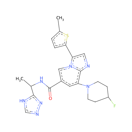 Cc1ccc(-c2cnc3c(N4CCC(F)CC4)cc(C(=O)NC(C)c4nnc[nH]4)cn23)s1